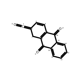 O=C=C1C=CC2=C(C1)C(=O)c1ccccc1C2=O